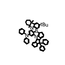 CC(C)(C)c1cc2c3c(c1)C1(C)CCCCC1(C)N3c1cc(N(c3ccccc3)c3ccccc3)cc3c1B2c1cccc2c4c(n-3c12)-c1ccccc1C4(c1ccccc1)c1ccccc1